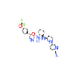 N#Cc1ccc(N2CCC[C@H](N[C@@H]3CCCCC3Nc3ncc(-c4ccc(OC(F)(F)F)cc4)o3)C2)cn1